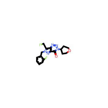 O=c1c2nn(Cc3ccccc3F)c(CF)c2nnn1C1CCOCC1